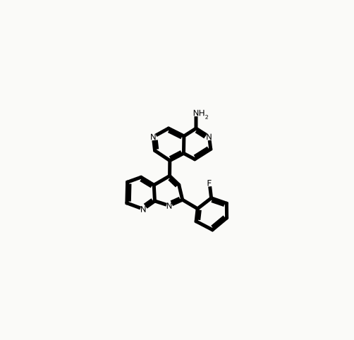 Nc1nccc2c(-c3cc(-c4ccccc4F)nc4ncccc34)cncc12